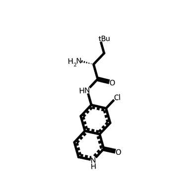 CC(C)(C)C[C@@H](N)C(=O)Nc1cc2cc[nH]c(=O)c2cc1Cl